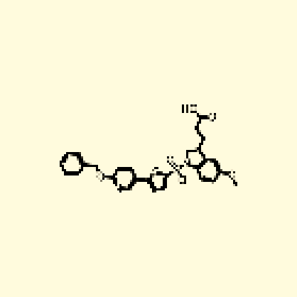 COc1ccc2c(c1)C(CCC(=O)O)CN2S(=O)(=O)c1ccc(-c2ccc(OCc3ccccc3)nc2)s1